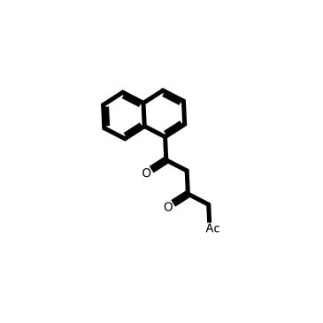 CC(=O)CC(=O)CC(=O)c1cccc2ccccc12